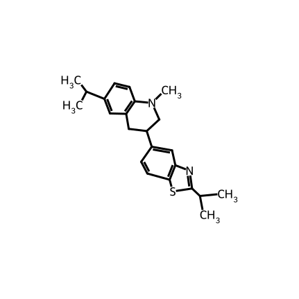 CC(C)c1ccc2c(c1)CC(c1ccc3sc(C(C)C)nc3c1)CN2C